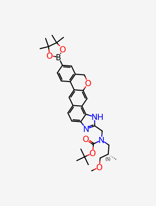 COC[C@@H](C)CN(Cc1nc2ccc3cc4c(cc3c2[nH]1)OCc1cc(B2OC(C)(C)C(C)(C)O2)ccc1-4)C(=O)OC(C)(C)C